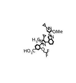 COc1nn(C2CC2)cc1-n1cc2c(-c3nc(-c4ccc(C(=O)O)cc4OCC(F)F)n(C)c3C3CC3)cccc2n1